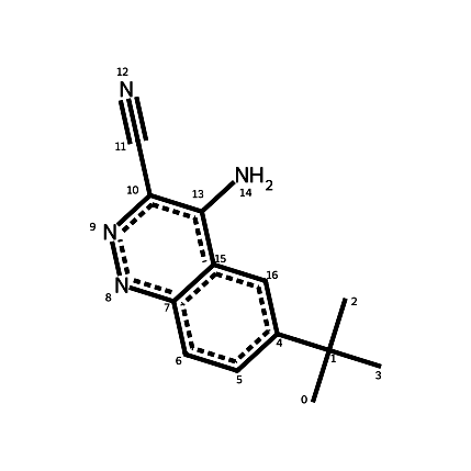 CC(C)(C)c1ccc2nnc(C#N)c(N)c2c1